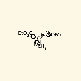 CCOC(=O)[C@H]1CC[C@@H](c2cnc(C)nc2OC[C@H]2C[C@@H]2c2ccc(OC)cn2)CC1